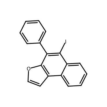 Ic1c(-c2ccccc2)c2occc2c2ccccc12